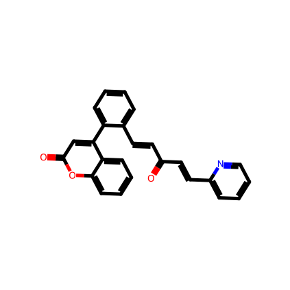 O=C(C=Cc1ccccn1)C=Cc1ccccc1-c1cc(=O)oc2ccccc12